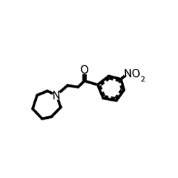 O=C(CCN1CCCCCC1)c1cccc([N+](=O)[O-])c1